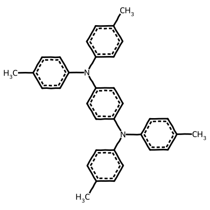 Cc1ccc(N(c2ccc(C)cc2)c2ccc(N(c3ccc(C)cc3)c3ccc(C)cc3)cc2)cc1